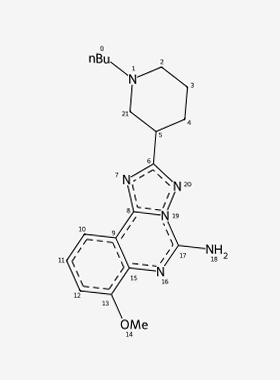 CCCCN1CCCC(c2nc3c4cccc(OC)c4nc(N)n3n2)C1